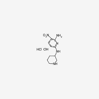 Cl.Cl.Nc1nc(NC2CCCNC2)ccc1[N+](=O)[O-]